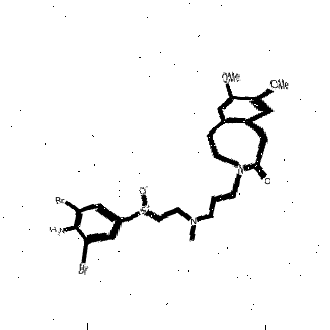 COc1cc2c(cc1OC)CC(=O)N(CCCN(C)CC[S+]([O-])c1cc(Br)c(N)c(Br)c1)CC2